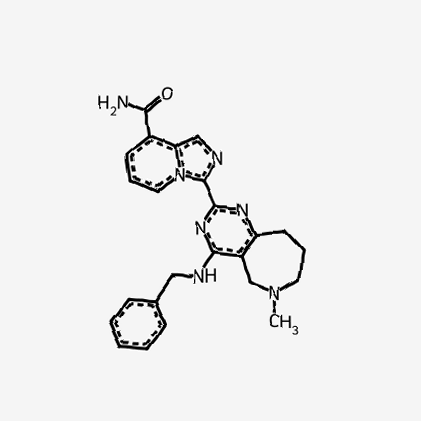 CN1CCCc2nc(-c3ncc4c(C(N)=O)cccn34)nc(NCc3ccccc3)c2C1